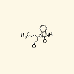 CCCC(CC=O)n1c(=O)[nH]c2ccccc21